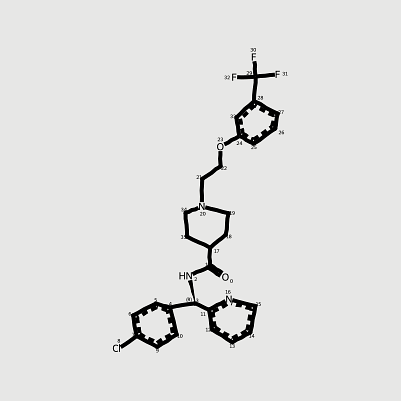 O=C(N[C@H](c1ccc(Cl)cc1)c1ccccn1)C1CCN(CCOc2cccc(C(F)(F)F)c2)CC1